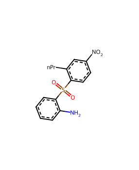 CCCc1cc([N+](=O)[O-])ccc1S(=O)(=O)c1ccccc1N